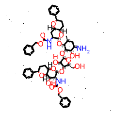 C[C@H]1C[C@@H](N)[C@H](O)[C@@H](O[C@@H]2O[C@H](CO)[C@@H](O[C@H]3O[C@H]4CCC(c5ccccc5)O[C@H]4[C@H](O)[C@H]3NC(=O)OCc3ccccc3)[C@H]2O)[C@@H]1O[C@H]1O[C@@H]2CCC(c3ccccc3)O[C@H]2CC1NC(=O)OCc1ccccc1